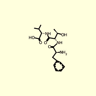 CC(C)[C@H](NC(=O)[C@@H](NC(=O)[C@@H](N)Cc1ccccc1)[C@@H](C)O)C(=O)O